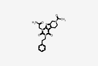 CC(=O)N1CCc2c(sc3c2c(=O)n(CCc2ccccc2)c(=O)n3CC(N)=O)C1